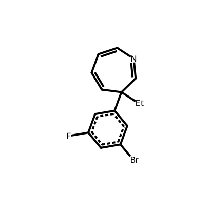 CCC1(c2cc(F)cc(Br)c2)C=CC=CN=C1